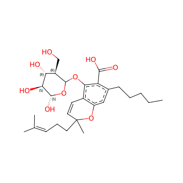 CCCCCc1cc2c(c(OC3O[C@H](O)[C@@H](O)[C@H](O)[C@H]3CO)c1C(=O)O)C=CC(C)(CCC=C(C)C)O2